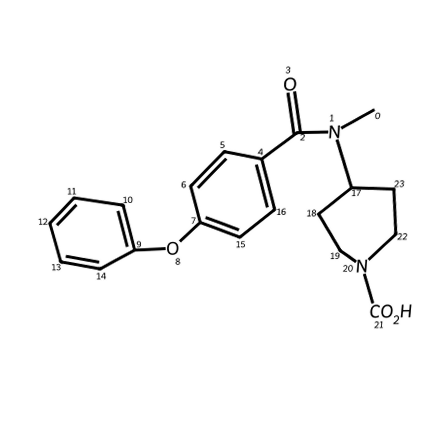 CN(C(=O)c1ccc(Oc2ccccc2)cc1)C1CCN(C(=O)O)CC1